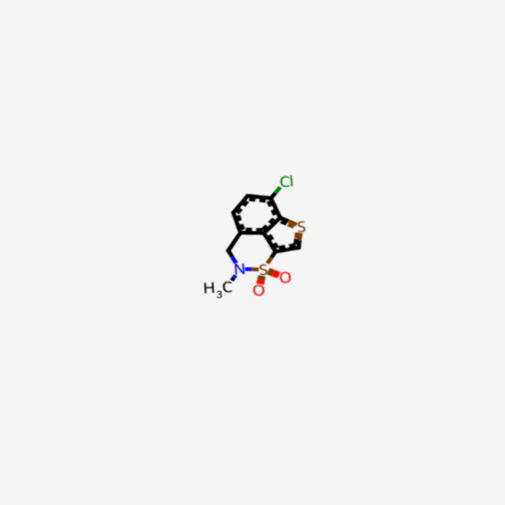 CN1Cc2ccc(Cl)c3scc(c23)S1(=O)=O